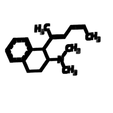 C/C=C\C=C(/C)C1c2ccccc2CCC1N(C)C